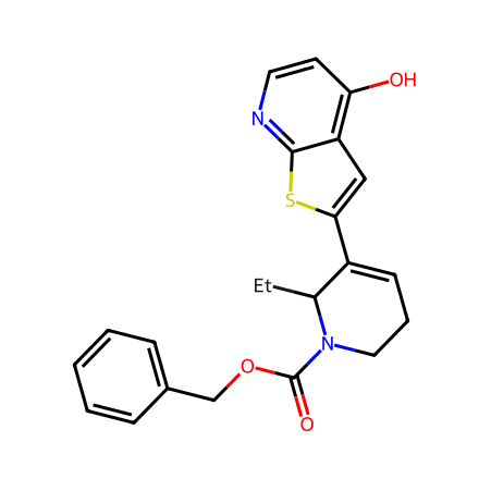 CCC1C(c2cc3c(O)ccnc3s2)=CCCN1C(=O)OCc1ccccc1